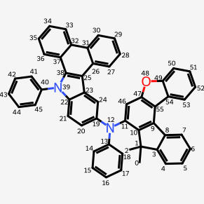 CC1(C)c2ccccc2-c2c1c(N(c1ccccc1)c1ccc3c(c1)c1c4ccccc4c4ccccc4c1n3-c1ccccc1)cc1oc3ccccc3c21